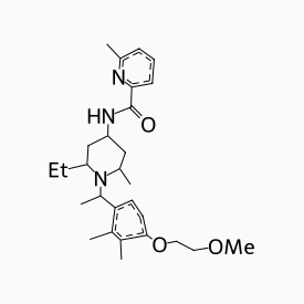 CCC1CC(NC(=O)c2cccc(C)n2)CC(C)N1C(C)c1ccc(OCCOC)c(C)c1C